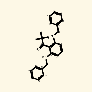 CC(C)(C)C(=O)c1c(OCc2ccccc2)cccc1OCc1ccccc1